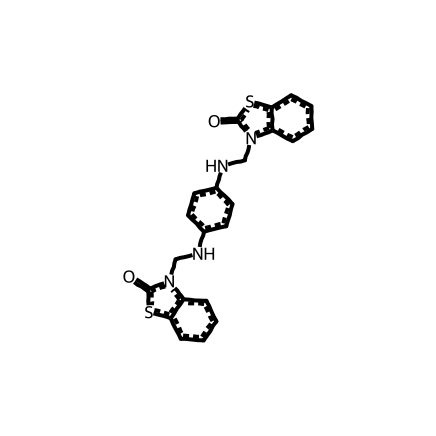 O=c1sc2ccccc2n1CNc1ccc(NCn2c(=O)sc3ccccc32)cc1